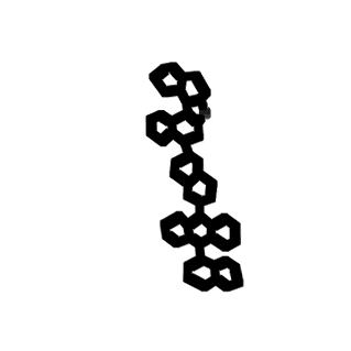 c1ccc2c(-c3c4ccccc4c(-c4ccc5cc(-c6cc7oc8ccc9ccccc9c8c7c7ccccc67)ccc5c4)c4ccccc34)cccc2c1